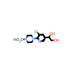 O=C(O)N1CCN(c2ncc(C(O)CO)cc2Cl)CC1